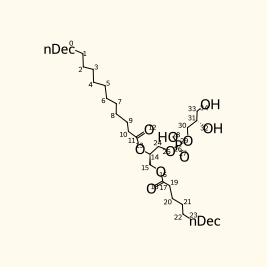 CCCCCCCCCCCCCCCCCCCCC(=O)O[C@H](COC(=O)CCCCCCCCCCCCCC)COP(=O)(O)OC[C@@H](O)CO